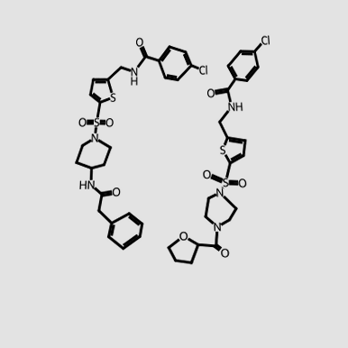 O=C(Cc1ccccc1)NC1CCN(S(=O)(=O)c2ccc(CNC(=O)c3ccc(Cl)cc3)s2)CC1.O=C(NCc1ccc(S(=O)(=O)N2CCN(C(=O)C3CCCO3)CC2)s1)c1ccc(Cl)cc1